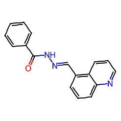 O=C(N/N=C/c1cccc2ncccc12)c1ccccc1